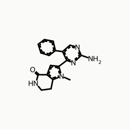 Cn1c(-c2nc(N)ncc2-c2ccccc2)cc2c1CCNC2=O